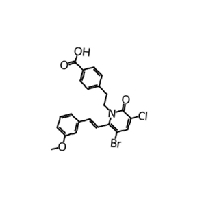 COc1cccc(/C=C/c2c(Br)cc(Cl)c(=O)n2CCc2ccc(C(=O)O)cc2)c1